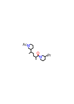 CC(=O)N1CCCC(C(C)CCC(C)C(=O)N2CCCC(C(C)C)C2)C1